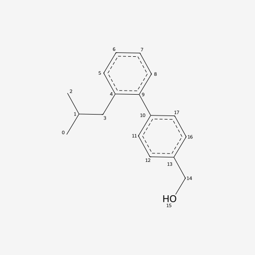 CC(C)Cc1ccccc1-c1ccc(CO)cc1